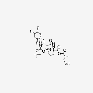 C[C@H](CS)C(=O)OC(=O)[C@]1(NC(=O)C[C@@H](Cc2cc(F)c(F)cc2F)NC(=O)OC(C)(C)C)CCCN1